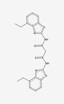 CCc1cccc2oc(NC(=O)CC(=S)Nc3nc4c(CC)cccc4o3)nc12